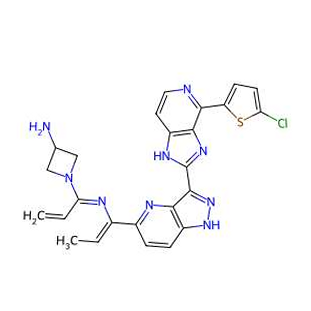 C=C/C(=N\C(=C/C)c1ccc2[nH]nc(-c3nc4c(-c5ccc(Cl)s5)nccc4[nH]3)c2n1)N1CC(N)C1